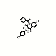 CC(=O)N(c1ccccc1)n1c(=O)n(S(=O)(=O)c2ccc(Cl)cc2)c(=O)c2ccc(Cl)cc21